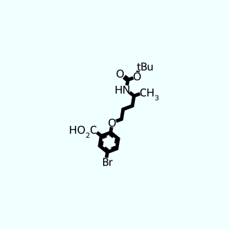 CC(CCCOc1ccc(Br)cc1C(=O)O)NC(=O)OC(C)(C)C